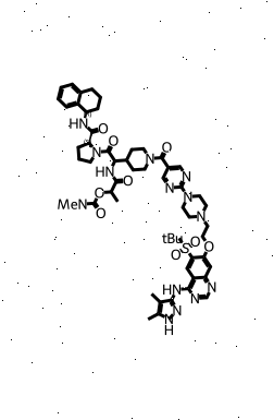 CNC(=O)OC(C)C(=O)NC(C(=O)N1CCC[C@H]1C(=O)N[C@@H]1CCCc2ccccc21)C1CCN(C(=O)c2cnc(N3CCN(CCOc4cc5ncnc(Nc6n[nH]c(C)c6C)c5cc4S(=O)(=O)C(C)(C)C)CC3)nc2)CC1